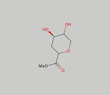 COC(=O)C1C[C@@H](O)C(O)CO1